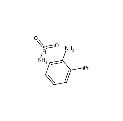 CC(C)c1ccccc1N.N[SH](=O)=O